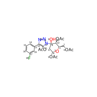 CC(=O)OC[C@H]1OC(OC(C)=O)[C@H](OC(C)=O)[C@](O)(n2cc(-c3cccc(F)c3)nn2)[C@H]1OC(C)=O